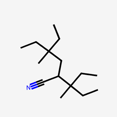 CCC(C)(CC)CC(C#N)C(C)(CC)CC